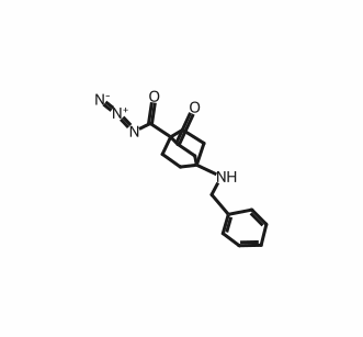 [N-]=[N+]=NC(=O)C12CCC(NCc3ccccc3)(CC1)CC2=O